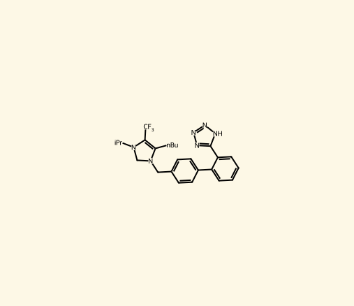 CCCCC1=C(C(F)(F)F)N(C(C)C)CN1Cc1ccc(-c2ccccc2-c2nnn[nH]2)cc1